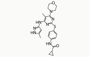 Cc1cc(Nc2nc(Sc3ccc(NC(=O)C4CC4)cc3)nc(N3CCOCC3)c2C)n[nH]1